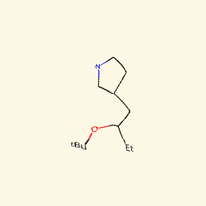 CCC(CC1CC[N]C1)OC(C)(C)C